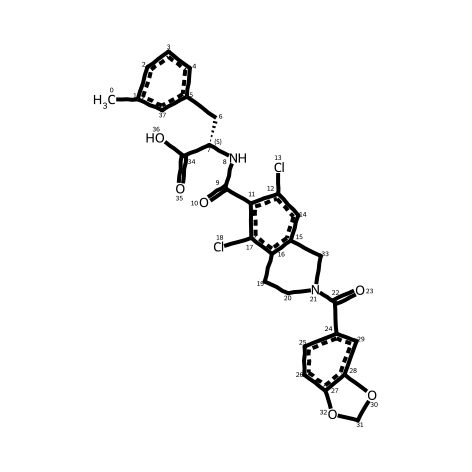 Cc1cccc(C[C@H](NC(=O)c2c(Cl)cc3c(c2Cl)CCN(C(=O)c2ccc4c(c2)OCO4)C3)C(=O)O)c1